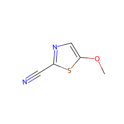 COc1cnc(C#N)s1